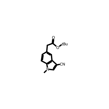 Cn1cc(C#N)c2cc(CC(=O)OC(C)(C)C)ccc21